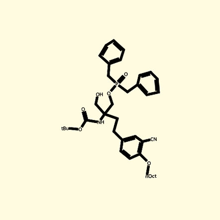 CCCCCCCCOc1ccc(CCC(CO)(COP(=O)(Cc2ccccc2)Cc2ccccc2)NC(=O)OC(C)(C)C)cc1C#N